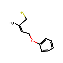 CC(=CCOc1ccccc1)CS